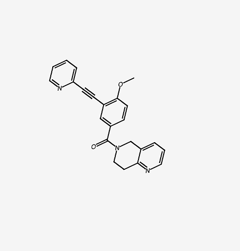 COc1ccc(C(=O)N2CCc3ncccc3C2)cc1C#Cc1ccccn1